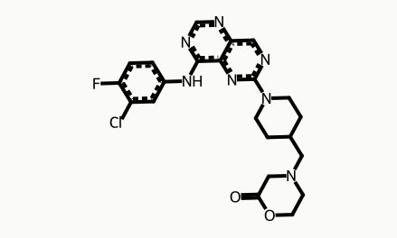 O=C1CN(CC2CCN(c3ncc4ncnc(Nc5ccc(F)c(Cl)c5)c4n3)CC2)CCO1